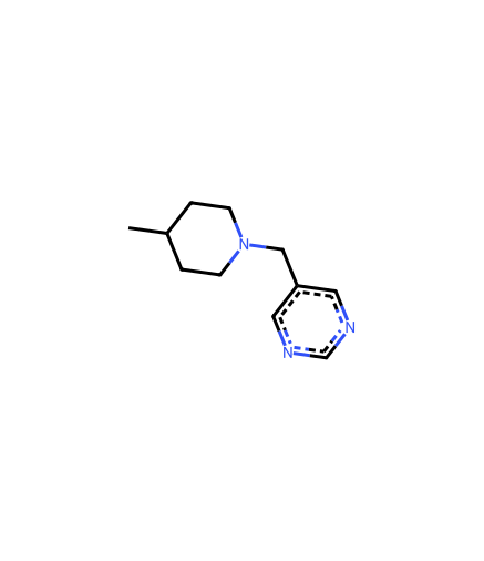 CC1CCN(Cc2cncnc2)CC1